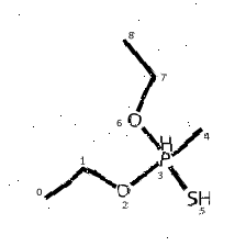 CCO[PH](C)(S)OCC